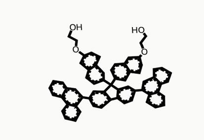 OCCOc1ccc2cc(C3(c4ccc5cc(OCCO)ccc5c4)c4cc(-c5cc6ccccc6c6ccccc56)ccc4-c4ccc(-c5cc6ccccc6c6ccccc56)cc43)ccc2c1